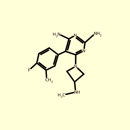 CNC1CN(c2nc(N)nc(N)c2-c2ccc(F)c(C)c2)C1